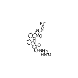 COc1nc(-c2cccc(-c3cccc(-c4cc5c(c(OC)n4)[C@@H](NC[C@@H]4CCC(=O)N4)CC5)c3Cl)c2Cl)cnc1CN1CC(F)(F)C1